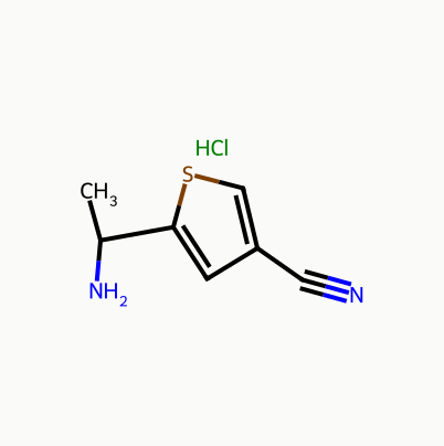 CC(N)c1cc(C#N)cs1.Cl